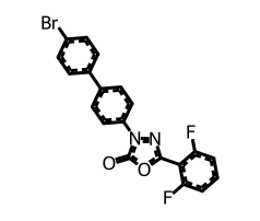 O=c1oc(-c2c(F)cccc2F)nn1-c1ccc(-c2ccc(Br)cc2)cc1